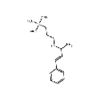 CO[Si](C)(CCCNC(N)C=Cc1ccccc1)OC